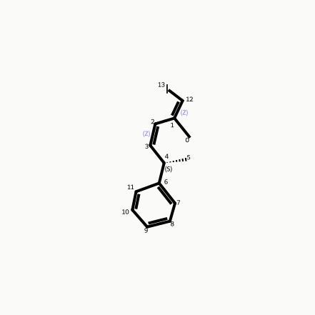 CC(/C=C\[C@H](C)c1ccccc1)=C/I